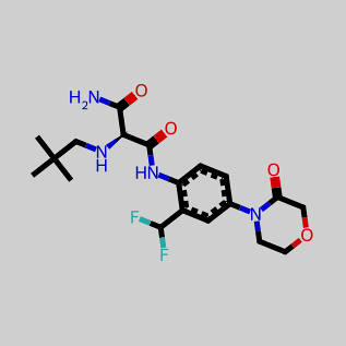 CC(C)(C)CN[C@@H](C(N)=O)C(=O)Nc1ccc(N2CCOCC2=O)cc1C(F)F